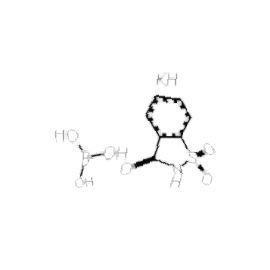 O=C1NS(=O)(=O)c2ccccc21.OB(O)O.[KH]